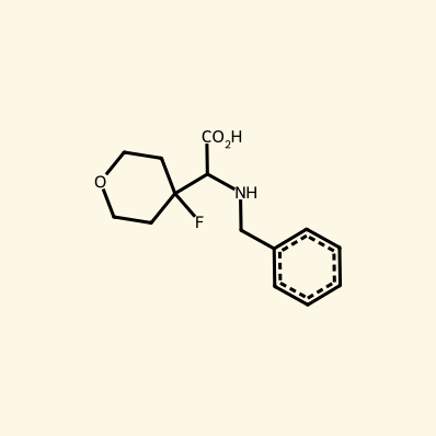 O=C(O)C(NCc1ccccc1)C1(F)CCOCC1